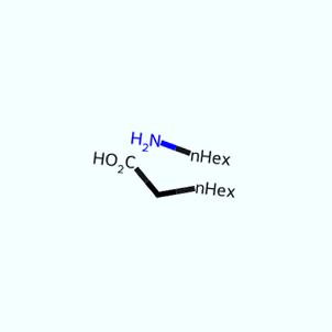 CCCCCCCC(=O)O.CCCCCCN